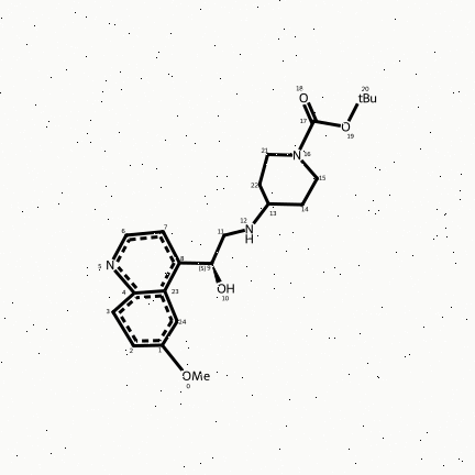 COc1ccc2nccc([C@H](O)CNC3CCN(C(=O)OC(C)(C)C)CC3)c2c1